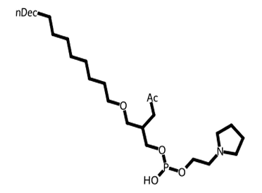 CCCCCCCCCCCCCCCCCCOCC(COP(O)OCCN1CCCC1)CC(C)=O